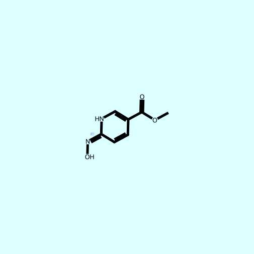 COC(=O)c1cc/c(=N\O)[nH]c1